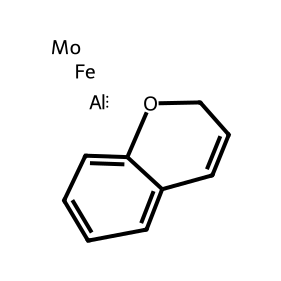 C1=Cc2ccccc2OC1.[Al].[Fe].[Mo]